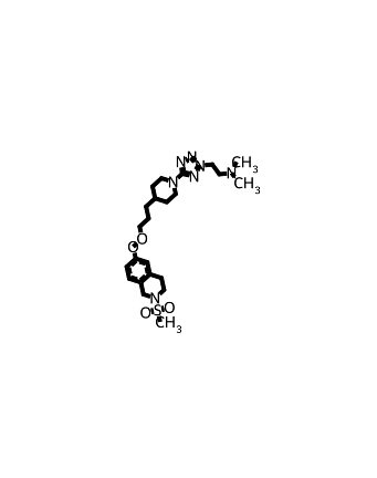 CN(C)CCn1nnc(N2CCC(CCCOOc3ccc4c(c3)CCN(S(C)(=O)=O)C4)CC2)n1